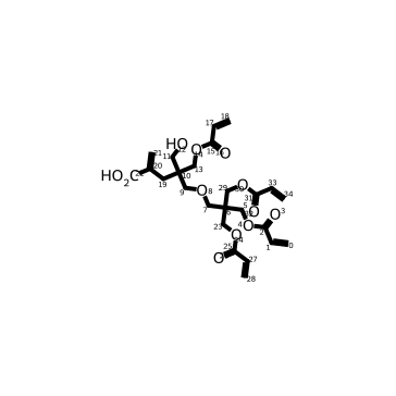 C=CC(=O)OCC(COCC(CO)(COC(=O)C=C)CC(=C)C(=O)O)(COC(=O)C=C)COC(=O)C=C